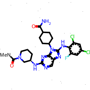 CNC(=O)N1CCC[C@@H](Nc2ncc3nc(Nc4c(F)cc(Cl)cc4Cl)n(C4CCC(C(N)=O)CC4)c3n2)C1